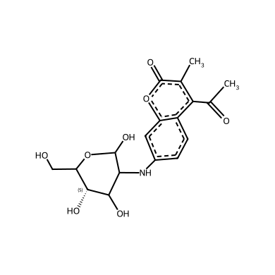 CC(=O)c1c(C)c(=O)oc2cc(NC3C(O)OC(CO)[C@@H](O)C3O)ccc12